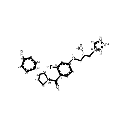 O=C(c1ccc(OC[C@H](O)Cn2cnnn2)cc1F)N1CC[C@H](c2ccc(F)cc2)C1